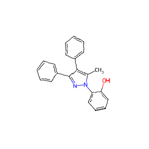 Cc1c(-c2ccccc2)c(-c2ccccc2)nn1-c1ccccc1O